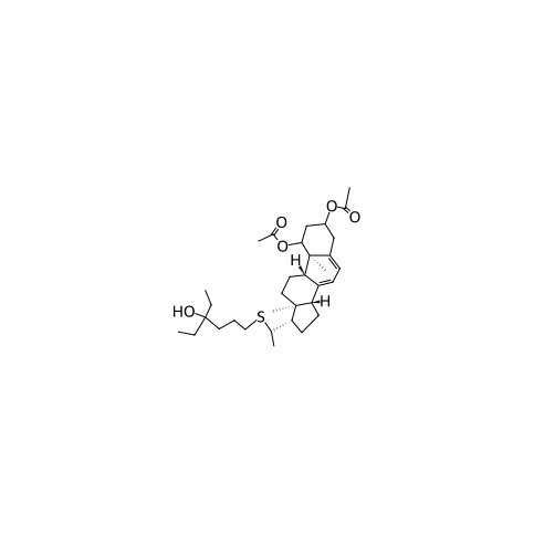 CCC(O)(CC)CCCSC(C)[C@H]1CC[C@H]2C3=CC=C4CC(OC(C)=O)CC(OC(C)=O)[C@]4(C)[C@H]3CC[C@]12C